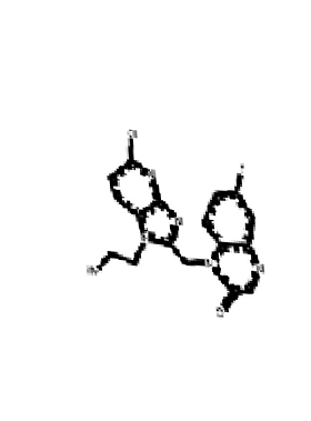 CC(C)CCn1c(Cn2c(=O)cnc3cc(F)ccc32)nc2nc(Cl)ccc21